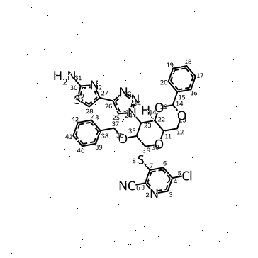 N#Cc1ncc(Cl)cc1S[C@H]1OC2COC(c3ccccc3)O[C@@H]2C(n2cc(-c3csc(N)n3)nn2)C1OCc1ccccc1